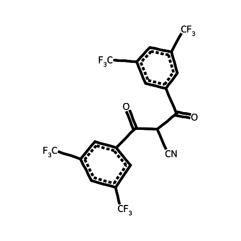 N#CC(C(=O)c1cc(C(F)(F)F)cc(C(F)(F)F)c1)C(=O)c1cc(C(F)(F)F)cc(C(F)(F)F)c1